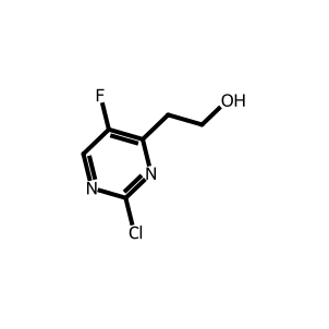 OCCc1nc(Cl)ncc1F